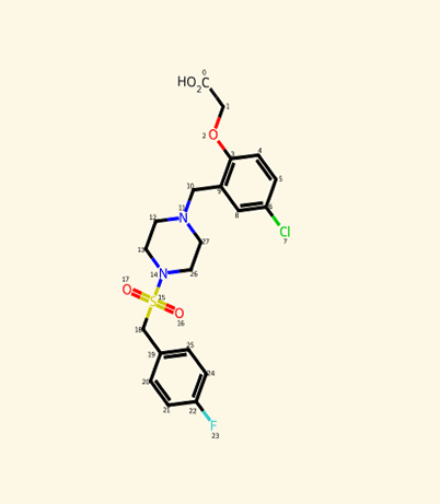 O=C(O)COc1ccc(Cl)cc1CN1CCN(S(=O)(=O)Cc2ccc(F)cc2)CC1